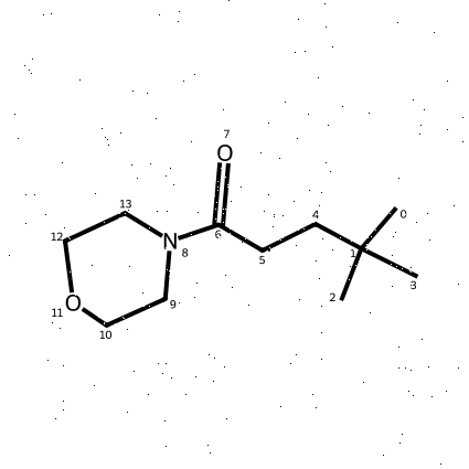 CC(C)(C)C[CH]C(=O)N1CCOCC1